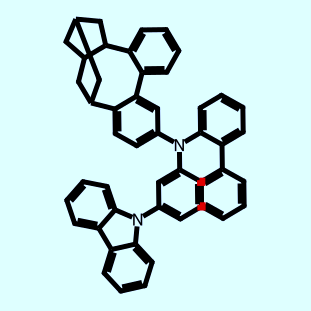 c1ccc(-c2ccccc2N(c2cccc(-n3c4ccccc4c4ccccc43)c2)c2ccc3c(c2)-c2ccccc2C2CC4CC3CC2C4)cc1